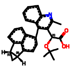 Cc1nc2ccccc2c(-c2ccc3c4c(cccc24)[C@H]2C[C@@H]32)c1[C@H](OC(C)(C)C)C(=O)O